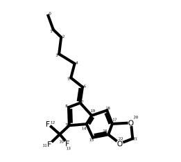 CCCCCC/C=C1\C=C(C(F)(F)F)c2cc3c(cc21)OCO3